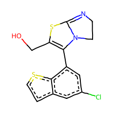 OCC1=C(c2cc(Cl)cc3ccsc23)N2CCN=C2S1